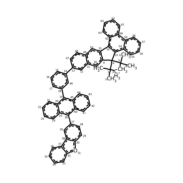 CC(C)(C)C1(C(C)(C)C)c2cc3cc(-c4cccc(-c5c6ccccc6c(-c6ccc7oc8ccccc8c7c6)c6ccccc56)c4)ccc3cc2-c2c1c1ccccc1c1ccccc21